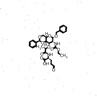 CCOC(=O)N[C@H]1[C@@H](OCc2ccccc2)O[C@@H]2COC(c3ccccc3)O[C@H]2[C@@H]1O[C@H](C)C(=O)N[C@@H](CCC=O)C(=O)O